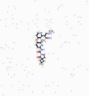 CN/C=C(\C=N)c1cc(Oc2ccc(NC(=O)N3CCC4(CC(F)(F)C4)C3=O)nc2C)ccn1